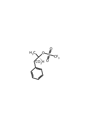 C[C@](Cc1ccccc1)(OS(=O)(=O)C(F)(F)F)C(=O)O